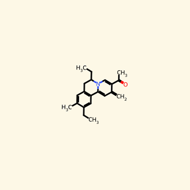 C=C1C=C2c3cc(CC)c(C)cc3CC(CC)N2C=C1C(C)=O